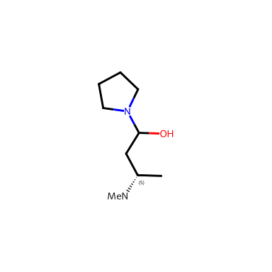 CN[C@@H](C)CC(O)N1CCCC1